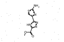 COC(=O)c1nnc(-c2csc(N)n2)[nH]1